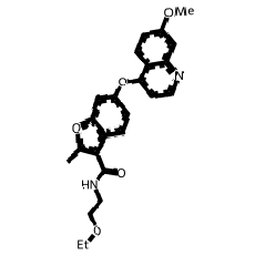 CCOCCNC(=O)c1c(C)oc2cc(Oc3ccnc4cc(OC)ccc34)ccc12